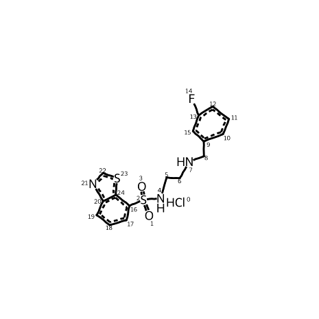 Cl.O=S(=O)(NCCNCc1cccc(F)c1)c1cccc2ncsc12